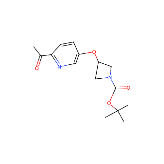 CC(=O)c1ccc(OC2CN(C(=O)OC(C)(C)C)C2)cn1